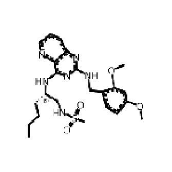 CCCC[C@@H](CNS(C)(=O)=O)Nc1nc(NCc2ccc(OC)cc2OC)nc2cccnc12